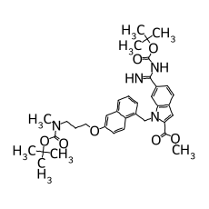 COC(=O)c1cc2ccc(C(=N)NC(=O)OC(C)(C)C)cc2n1Cc1cccc2cc(OCCCN(C)C(=O)OC(C)(C)C)ccc12